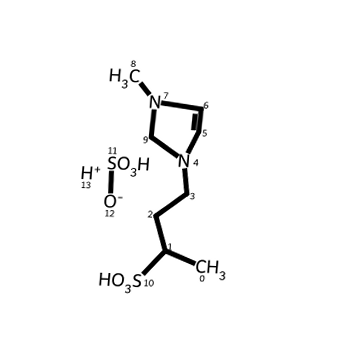 CC(CCN1C=CN(C)C1)S(=O)(=O)O.O=S(=O)([O-])O.[H+]